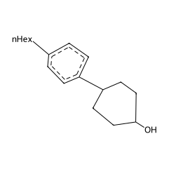 CCCCCCc1ccc(C2CCC(O)CC2)cc1